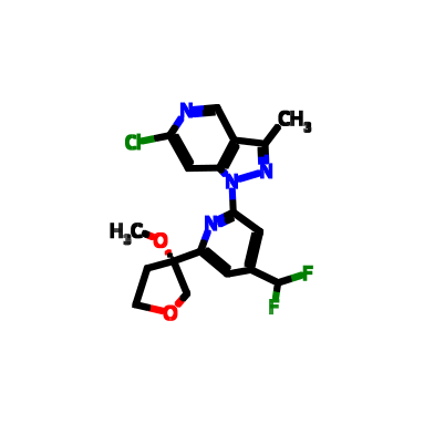 CO[C@@]1(c2cc(C(F)F)cc(-n3nc(C)c4cnc(Cl)cc43)n2)CCOC1